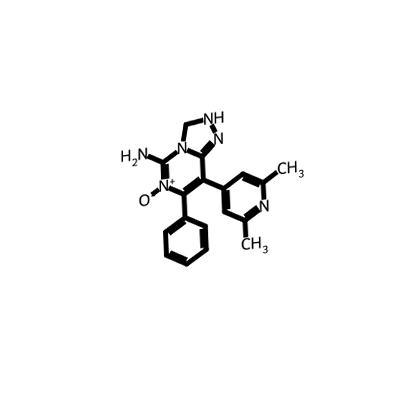 Cc1cc(C2=C(c3ccccc3)[N+]([O-])=C(N)N3CNN=C23)cc(C)n1